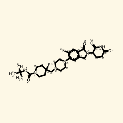 CC(C)(C)OC(=O)N1CCC(F)(CN2CCN(c3cc4c(cc3F)C(=O)N(C3CCC(=O)NC3=O)C4)CC2)CC1